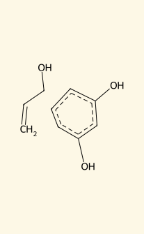 C=CCO.Oc1cccc(O)c1